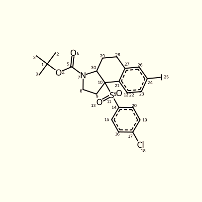 CC(C)(C)OC(=O)N1CCC2(S(=O)(=O)c3ccc(Cl)cc3)c3ccc(I)cc3CCC12